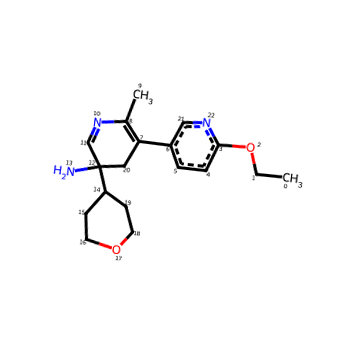 CCOc1ccc(C2=C(C)N=CC(N)(C3CCOCC3)C2)cn1